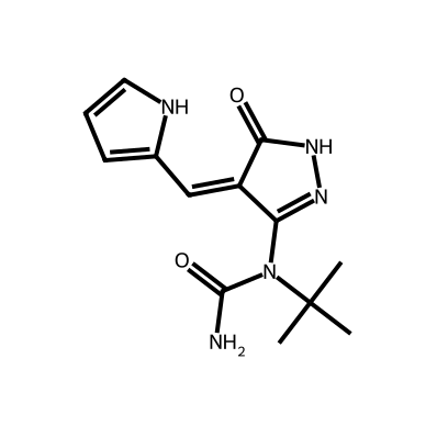 CC(C)(C)N(C(N)=O)C1=NNC(=O)C1=Cc1ccc[nH]1